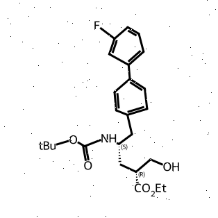 CCOC(=O)[C@@H](CO)C[C@@H](Cc1ccc(-c2cccc(F)c2)cc1)NC(=O)OC(C)(C)C